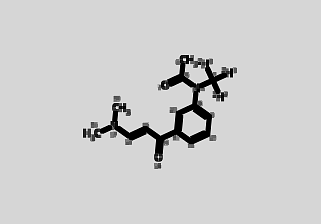 [2H]C([2H])([2H])N(C(C)=O)c1cccc(C(=O)/C=C/N(C)C)c1